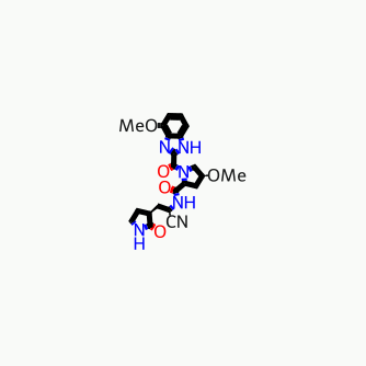 COc1cccc2[nH]c(C(=O)N3C[C@H](OC)CC3C(=O)N[C@H](C#N)C[C@@H]3CCNC3=O)nc12